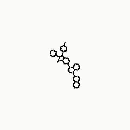 Cc1ccc(-c2c(-c3ccccc3)n(C)c3cc(-c4ccc(-c5ccc6ccccc6c5)c5ccccc45)ccc23)cc1